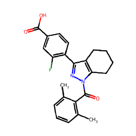 Cc1cccc(C)c1C(=O)n1nc(-c2ccc(C(=O)O)cc2F)c2c1CCCC2